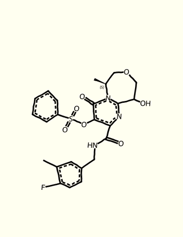 Cc1cc(CNC(=O)c2nc3n(c(=O)c2OS(=O)(=O)c2ccccc2)[C@@H](C)COCC3O)ccc1F